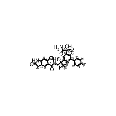 C[C@]1(C(N)=O)COc2c1cc(C(O)(CNC(=O)c1cc3c(cc1Cl)NC(=O)C3)C(F)(F)F)nc2-c1ccc(F)cc1